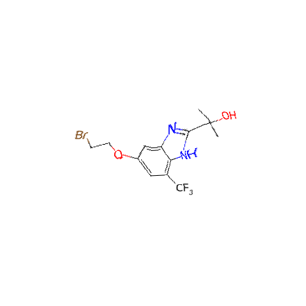 CC(C)(O)c1nc2cc(OCCBr)cc(C(F)(F)F)c2[nH]1